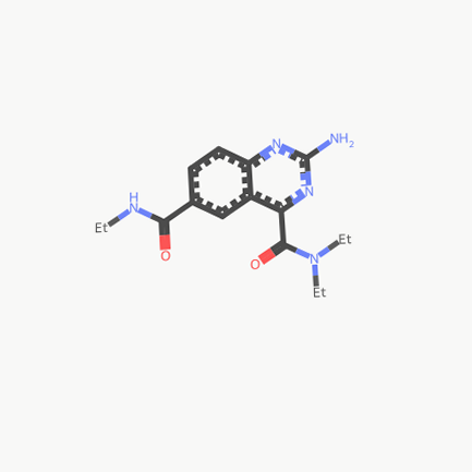 CCNC(=O)c1ccc2nc(N)nc(C(=O)N(CC)CC)c2c1